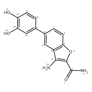 NC(=O)c1oc2ccc(-c3ccc(O)c(O)c3)cc2c1N